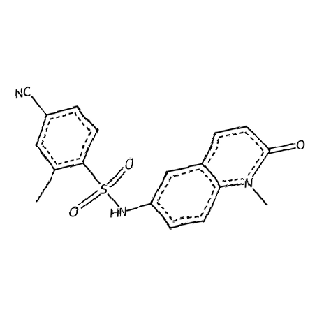 Cc1cc(C#N)ccc1S(=O)(=O)Nc1ccc2c(ccc(=O)n2C)c1